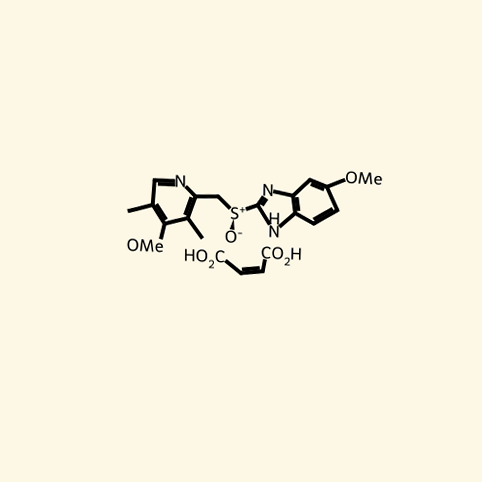 COc1ccc2[nH]c([S@@+]([O-])Cc3ncc(C)c(OC)c3C)nc2c1.O=C(O)/C=C\C(=O)O